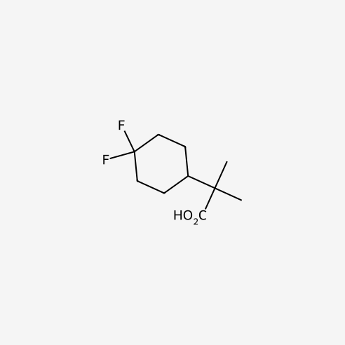 CC(C)(C(=O)O)C1CCC(F)(F)CC1